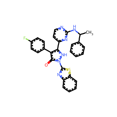 CC(Nc1nccc(-c2[nH]n(-c3nc4ccccc4s3)c(=O)c2-c2ccc(F)cc2)n1)c1ccccc1